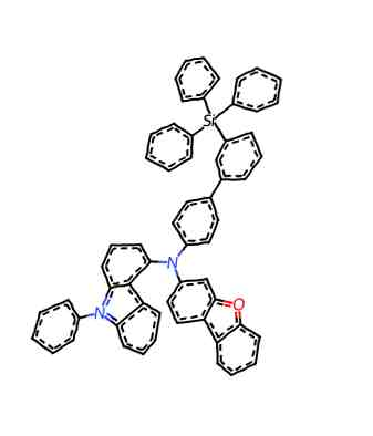 c1ccc(-n2c3ccccc3c3c(N(c4ccc(-c5cccc([Si](c6ccccc6)(c6ccccc6)c6ccccc6)c5)cc4)c4ccc5c(c4)oc4ccccc45)cccc32)cc1